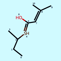 CCC(C)[SH]=C(O)C=C(C)C